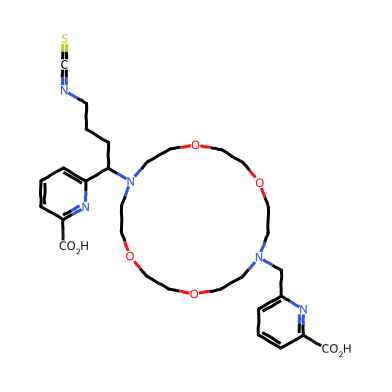 O=C(O)c1cccc(CN2CCOCCOCCN(C(CCCN=C=S)c3cccc(C(=O)O)n3)CCOCCOCC2)n1